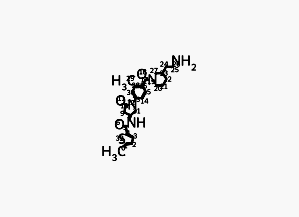 Cc1ccc(C(=O)NC2CC(=O)N(c3ccc(C(=O)N4CCCC(CCN)C4)c(C)c3)C2)s1